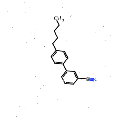 CCCCCc1ccc(-c2cccc(C#N)c2)cc1